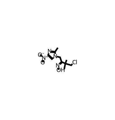 Cc1nc([N+](=O)[O-])cn1CC(=NO)C(C)(C)CCl